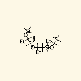 C=C[Si](C)(OC(C)(CC)C(C)(C)[Si](C)(C)OC(C)(CC)[Si](C)(C)C)C(C)(CC)O[Si](C)(C)C